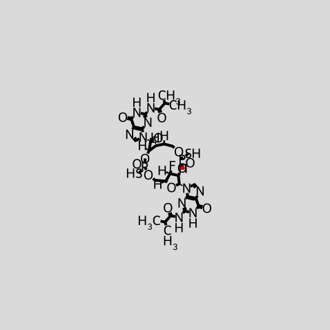 CC(C)C(=O)Nc1nc2c(ncn2[C@@H]2O[C@@H]3COP(=O)(S)O[C@@H]4[C@@H](F)[C@@H](COP(=O)(S)O[C@@H]2[C@H]3F)O[C@H]4n2cnc3c(=O)[nH]c(NC(=O)C(C)C)nc32)c(=O)[nH]1